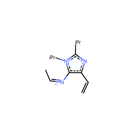 C=Cc1nc(C(C)C)n(C(C)C)c1/N=C\C